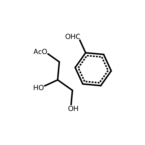 CC(=O)OCC(O)CO.O=Cc1ccccc1